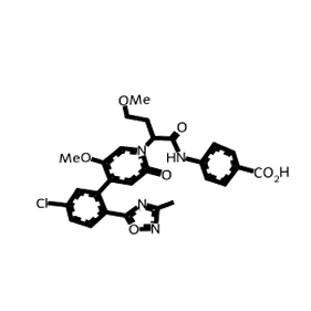 COCCC(C(=O)Nc1ccc(C(=O)O)cc1)n1cc(OC)c(-c2cc(Cl)ccc2-c2nc(C)no2)cc1=O